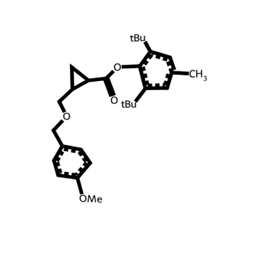 COc1ccc(COCC2CC2C(=O)Oc2c(C(C)(C)C)cc(C)cc2C(C)(C)C)cc1